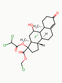 C[C@]12CC(O)[C@]3(F)[C@@H](CCC4=CC(=O)CC[C@@]43C)[C@@H]1CCC2(OC(=O)C(Cl)Cl)C(=O)OCCl